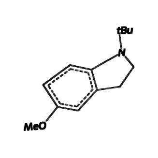 COc1ccc2c(c1)CCN2C(C)(C)C